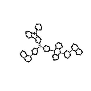 c1ccc(-n2c3ccccc3c3cc(N(c4ccc(-c5cccc6ccccc56)cc4)c4ccc(-c5c6ccccc6c(-c6cccc(-c7cccc8ccccc78)c6)c6ccccc56)cc4)ccc32)cc1